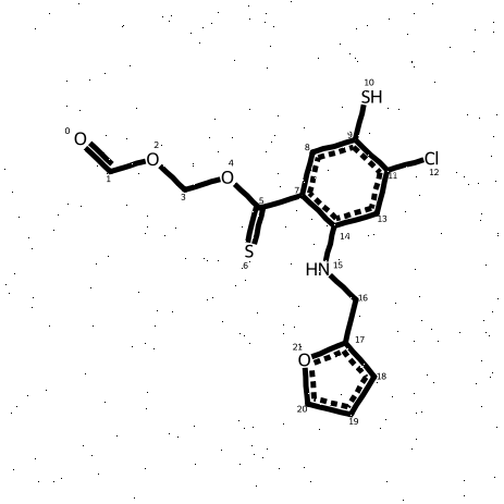 O=COCOC(=S)c1cc(S)c(Cl)cc1NCc1ccco1